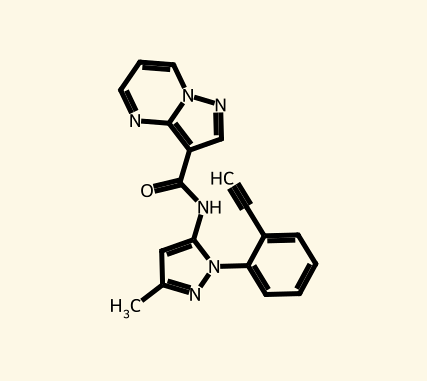 C#Cc1ccccc1-n1nc(C)cc1NC(=O)c1cnn2cccnc12